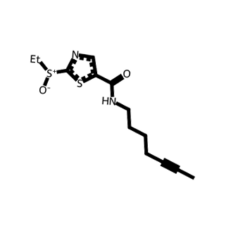 CC#CCCCCNC(=O)c1cnc([S+]([O-])CC)s1